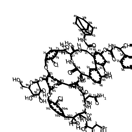 CN[C@H](CC(C)C)C(=O)N[C@H]1C(=O)N[C@@H](CC(N)=O)C(=O)N[C@H]2C(=O)N[C@@H]3C(=O)N[C@H](C(=O)N[C@H](C(=O)NC4C5CC6CC(C5)CC4C6)c4cc(OC(=O)N[C@@H](C)c5ccccc5)cc(O)c4-c4cc3ccc4O)[C@H](O)c3ccc(c(Cl)c3)Oc3cc2cc(c3OC2O[C@H](CO)[C@@H](O)[C@H](O)[C@H]2O)Oc2ccc(cc2Cl)[C@H]1O